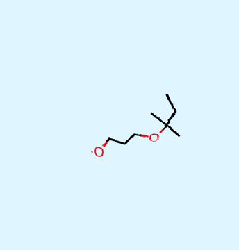 CCC(C)(C)OCCC[O]